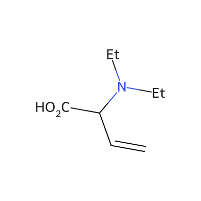 C=CC(C(=O)O)N(CC)CC